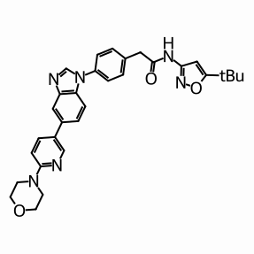 CC(C)(C)c1cc(NC(=O)Cc2ccc(-n3cnc4cc(-c5ccc(N6CCOCC6)nc5)ccc43)cc2)no1